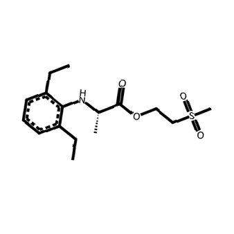 CCc1cccc(CC)c1N[C@@H](C)C(=O)OCCS(C)(=O)=O